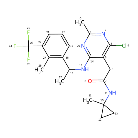 Cc1nc(Cl)c(CC(=O)NC2(C)CC2)c(NC(C)c2cccc(C(F)(F)F)c2C)n1